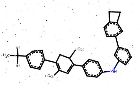 CCCCCCCCC1=C(c2ccc(C(C)(CC)CC)cc2)CC(CCCCCCCC)C(c2ccc(Nc3cccc(-c4ccc5c(c4)CC5)c3)cc2)=C1